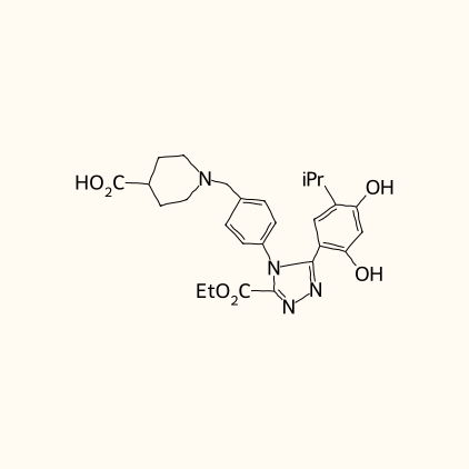 CCOC(=O)c1nnc(-c2cc(C(C)C)c(O)cc2O)n1-c1ccc(CN2CCC(C(=O)O)CC2)cc1